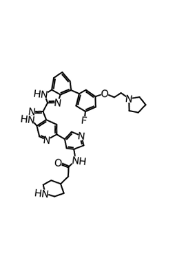 O=C(CC1CCNCC1)Nc1cncc(-c2cc3c(-c4nc5c(-c6cc(F)cc(OCCN7CCCC7)c6)cccc5[nH]4)n[nH]c3cn2)c1